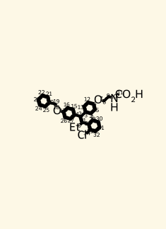 CC/C(=C(/c1ccc(OCCNC(=O)O)cc1)c1ccc(OCc2ccccc2)cc1)c1ccccc1Cl